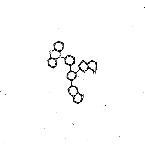 c1cc(-c2ccc(-c3ccc4cccnc4c3)cc2-c2ccc3cccnc3c2)cc(N2c3ccccc3Sc3ccccc32)c1